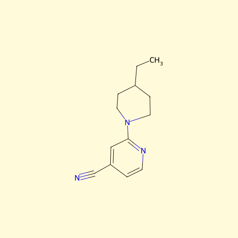 CCC1CCN(c2cc(C#N)ccn2)CC1